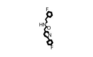 O=C(Cc1ccc(-c2ccc(F)cc2)nc1)NCCc1cccc(F)c1